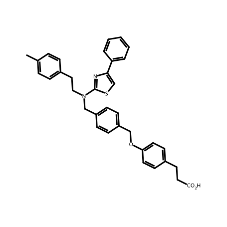 Cc1ccc(CCN(Cc2ccc(COc3ccc(CCC(=O)O)cc3)cc2)c2nc(-c3ccccc3)cs2)cc1